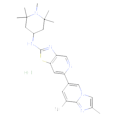 Cc1cn2cc(-c3cc4sc(NC5CC(C)(C)N(C)C(C)(C)C5)nc4cn3)cc(C#N)c2n1.Cl